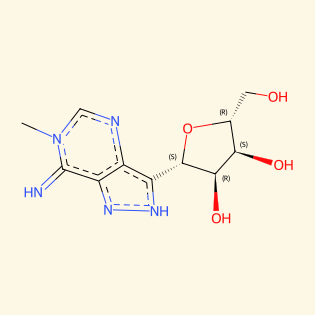 Cn1cnc2c([C@@H]3O[C@H](CO)[C@@H](O)[C@H]3O)[nH]nc2c1=N